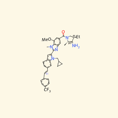 CC[C@@H]1CN(C(=O)c2cc(OC)c3c(c2)nc(-c2cc4ccc(/C=C/c5ccc(C(F)(F)F)cc5)cc4n2CC2CC2)n3C)[C@H](C)[C@H]1N